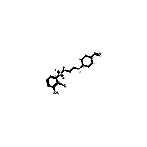 Cc1cccc(S(=O)(=O)NCCOC2CCC(C=O)CC2)c1N